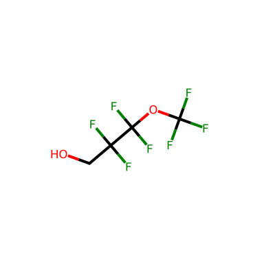 OCC(F)(F)C(F)(F)OC(F)(F)F